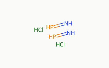 Cl.Cl.N=P.N=P